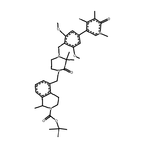 COc1cc(-c2cn(C)c(=O)c(C)c2C)cc(OC)c1CN1CCN(Cc2cccc3c2CCN(C(=O)OC(C)(C)C)C3C)C(=O)C1(C)C